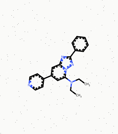 CCN(CC)c1cc(-c2ccncc2)cc2nc(-c3ccccc3)nn12